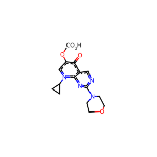 O=C(O)Oc1cn(C2CC2)c2nc(N3CCOCC3)ncc2c1=O